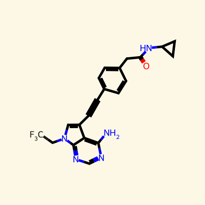 Nc1ncnc2c1c(C#Cc1ccc(CC(=O)NC3CC3)cc1)cn2CC(F)(F)F